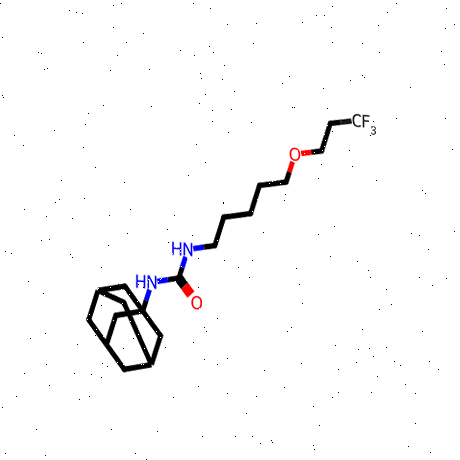 O=C(NCCCCCOCCC(F)(F)F)NC12CC3CC(CC(C3)C1)C2